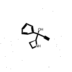 C#C[C@@](O)(c1ccccc1)[C@@H]1CCN1